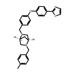 Cc1ccc(CN2C[C@@H]3C[C@H]2CN3Cc2ccc(Oc3ccc(-c4ncco4)cc3)cc2)cc1